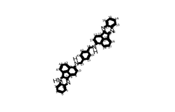 c1ccc2c(c1)N=C1c3ccc(NCc4ccc(CNc5ccc6c7c(cccc57)-c5nc7ccccc7nc5-6)cc4)c4cccc(c34)C1N2